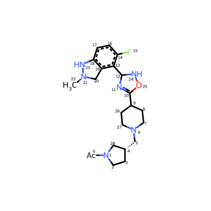 CC(=O)N1CC[C@@H](CN2CCC(C3=NC(c4c(F)ccc5c4CN(C)N5)NO3)CC2)C1